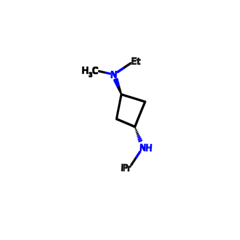 CCN(C)[C@H]1C[C@H](NC(C)C)C1